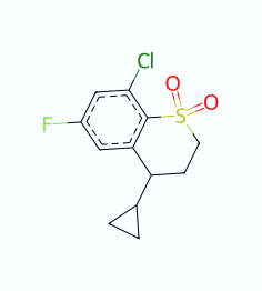 O=S1(=O)CCC(C2CC2)c2cc(F)cc(Cl)c21